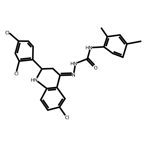 Cc1ccc(NC(=O)NN=C2CC(c3ccc(Cl)cc3Cl)Nc3ccc(Cl)cc32)c(C)c1